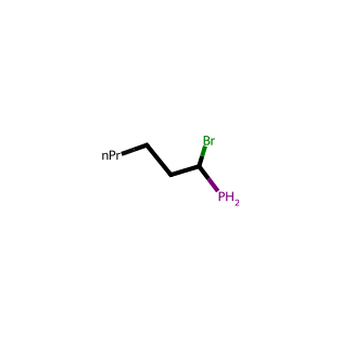 CCCCCC(P)Br